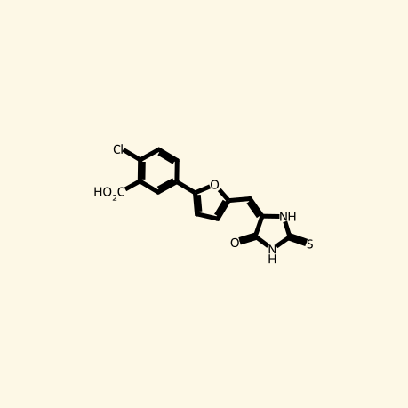 O=C1NC(=S)NC1=Cc1ccc(-c2ccc(Cl)c(C(=O)O)c2)o1